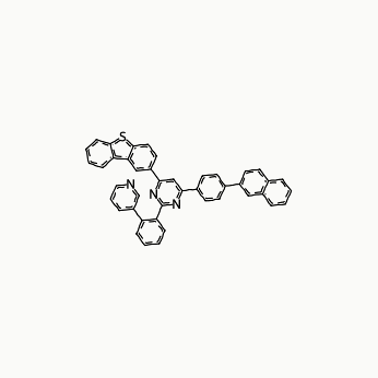 c1cncc(-c2ccccc2-c2nc(-c3ccc(-c4ccc5ccccc5c4)cc3)cc(-c3ccc4sc5ccccc5c4c3)n2)c1